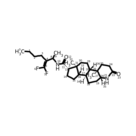 CCCCC(=C(F)F)C(C)NC(=O)[C@H]1CC[C@H]2[C@@H]3CC[C@H]4NC(=O)CC[C@]4(C)[C@H]3CC[C@]12C